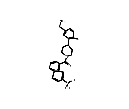 NCc1ccc(F)c(C2CCN(C(=O)c3cccc4ccc(B(O)O)cc34)CC2)c1